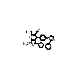 Cn1nc(C2CCCC2)c2c1OC(N)=C(C#N)C2c1ccc(-n2ccnc2-c2ccccn2)cc1